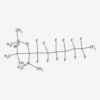 CC(C)C(C)(C)C(O[SiH](C)C)(N(C)C)C(F)(F)C(F)(F)C(F)(F)C(F)(F)C(F)(F)C(F)(F)C(F)(F)F